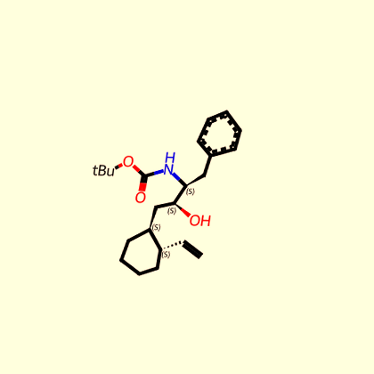 C=C[C@@H]1CCCC[C@H]1C[C@H](O)[C@H](Cc1ccccc1)NC(=O)OC(C)(C)C